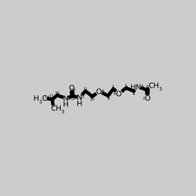 CC(=O)NCCOCCOCCNC(=O)NCC(C)C